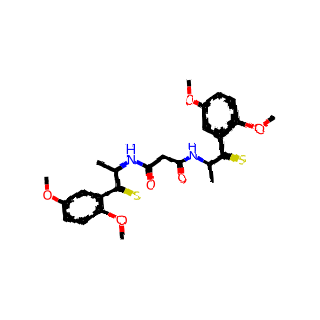 COc1ccc(OC)c(C(=S)C(C)NC(=O)CC(=O)NC(C)C(=S)c2cc(OC)ccc2OC)c1